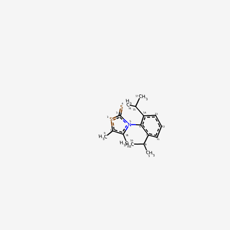 Cc1sc(=S)n(-c2c(C(C)C)cccc2C(C)C)c1C